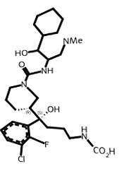 CNCC(NC(=O)N1CCC[C@@H]([C@@](O)(CCCNC(=O)O)c2cccc(Cl)c2F)C1)C(O)C1CCCCC1